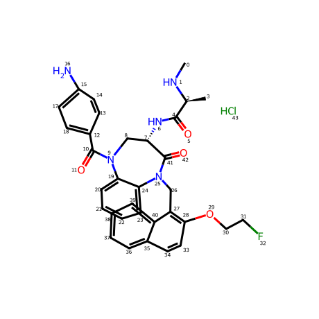 CN[C@@H](C)C(=O)N[C@H]1CN(C(=O)c2ccc(N)cc2)c2ccccc2N(Cc2c(OCCF)ccc3ccccc23)C1=O.Cl